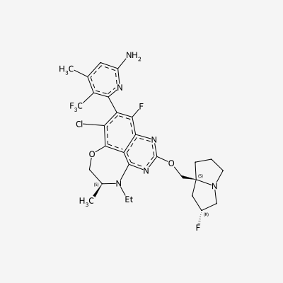 CCN1c2nc(OC[C@@]34CCCN3C[C@H](F)C4)nc3c(F)c(-c4nc(N)cc(C)c4C(F)(F)F)c(Cl)c(c23)OC[C@@H]1C